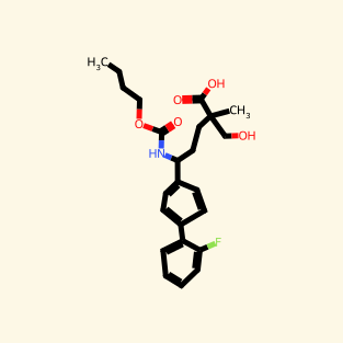 CCCCOC(=O)NC(CCC(C)(CO)C(=O)O)c1ccc(-c2ccccc2F)cc1